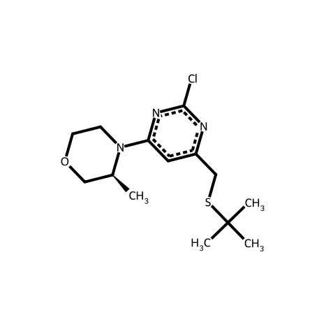 C[C@H]1COCCN1c1cc(CSC(C)(C)C)nc(Cl)n1